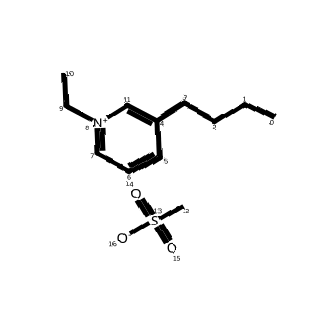 CCCCc1ccc[n+](CC)c1.CS(=O)(=O)[O-]